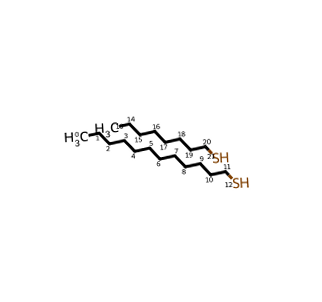 CCCCCCCCCCCCS.CCCCCCCCS